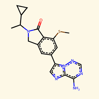 CSc1cc(-c2cnc3c(N)ncnn23)cc2c1C(=O)N(C(C)C1CC1)C2